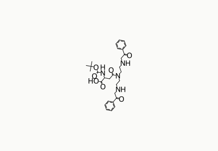 CC(C)(C)OC(=O)NC(CC(=O)N(CCNCC(=O)c1ccccc1)CCNCC(=O)c1ccccc1)C(=O)O